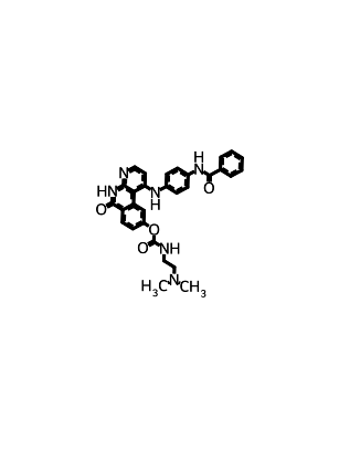 CN(C)CCNC(=O)Oc1ccc2c(=O)[nH]c3nccc(Nc4ccc(NC(=O)c5ccccc5)cc4)c3c2c1